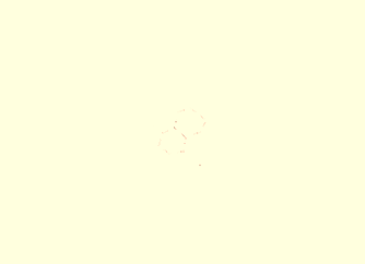 Oc1c(F)c(F)c(O)c2c(F)c(F)c(F)c(O)c12